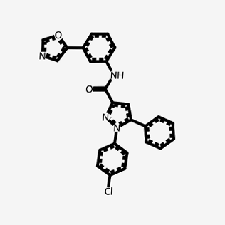 O=C(Nc1cccc(-c2cnco2)c1)c1cc(-c2ccccc2)n(-c2ccc(Cl)cc2)n1